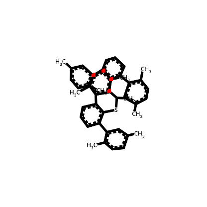 Cc1ccc(C)c(-c2cccc(-c3cc(C)ccc3C)c2S[CH]([BiH2])Sc2c(-c3cc(C)ccc3C)cccc2-c2cc(C)ccc2C)c1